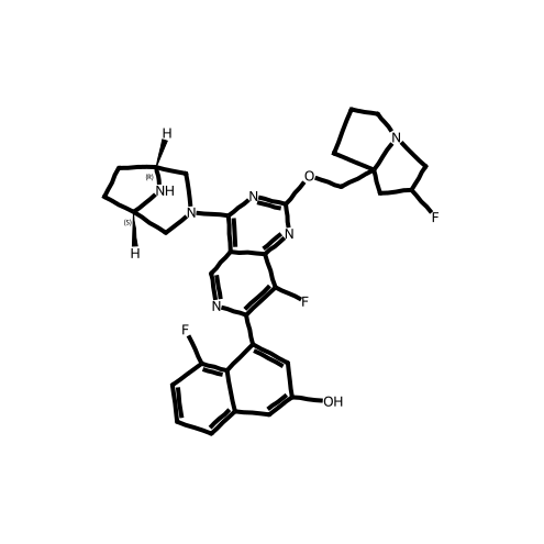 Oc1cc(-c2ncc3c(N4C[C@H]5CC[C@@H](C4)N5)nc(OCC45CCCN4CC(F)C5)nc3c2F)c2c(F)cccc2c1